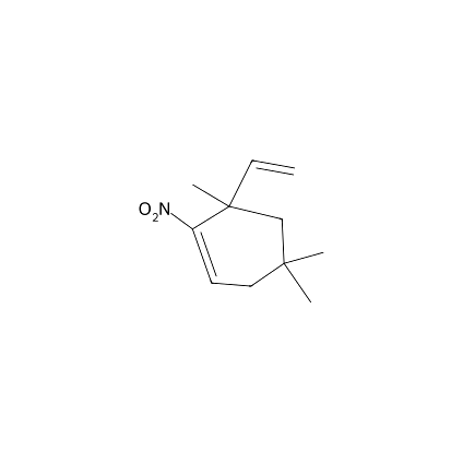 C=CC1(C)CC(C)(C)CC=C1[N+](=O)[O-]